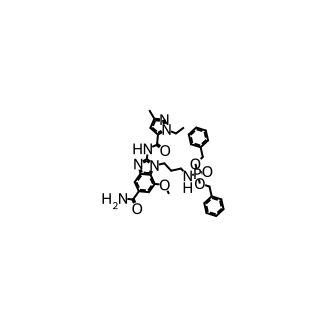 CCn1nc(C)cc1C(=O)Nc1nc2cc(C(N)=O)cc(OC)c2n1CCCNP(=O)(OCc1ccccc1)OCc1ccccc1